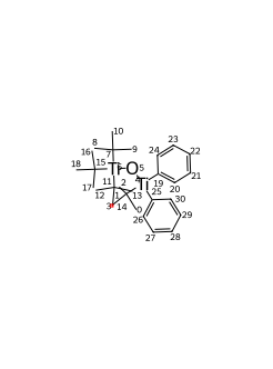 C[C](C)(C)[Ti]([O][Ti]([C](C)(C)C)([C](C)(C)C)[C](C)(C)C)([c]1ccccc1)[c]1ccccc1